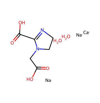 O.O.O=C(O)CN1CCN=C1C(=O)O.[Ca].[Na].[Na]